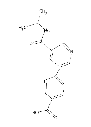 CC(C)NC(=O)c1cncc(-c2ccc(C(=O)O)cc2)c1